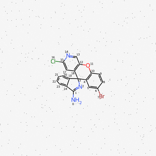 NC1=NC2(c3cc(Br)ccc3Oc3cnc(Cl)cc32)c2ccccc21